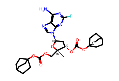 C[C@]1(COC(=O)OC23CCC(CC2)CC3)O[C@@H](n2cnc3c(N)nc(F)nc32)C[C@@H]1OC(=O)OC12CCC(CC1)CC2